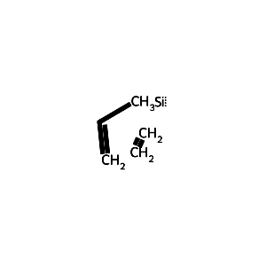 C=C.C=CC.[Si]